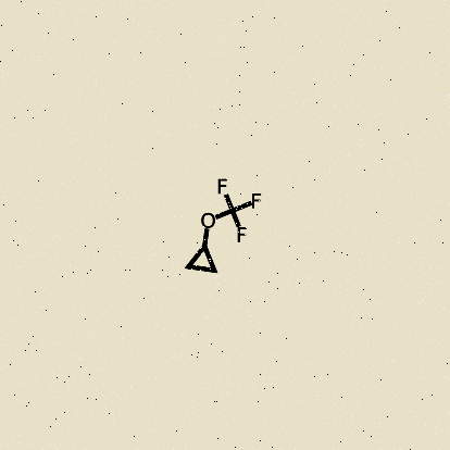 FC(F)(F)O[C]1CC1